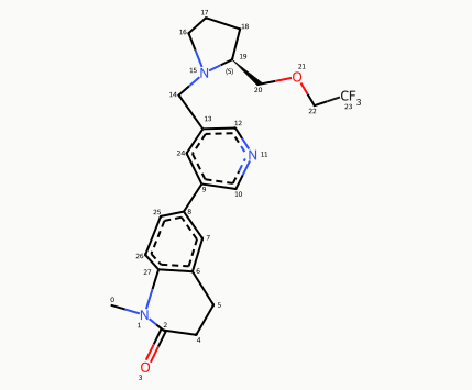 CN1C(=O)CCc2cc(-c3cncc(CN4CCC[C@H]4COCC(F)(F)F)c3)ccc21